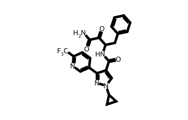 NC(=O)C(=O)C(Cc1ccccc1)NC(=O)c1cn(C2CC2)nc1-c1ccc(C(F)(F)F)nc1